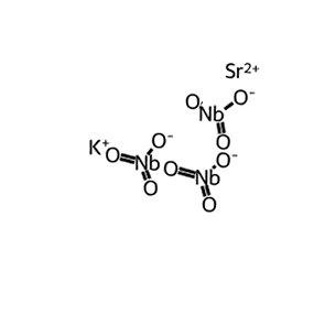 [K+].[O]=[Nb](=[O])[O-].[O]=[Nb](=[O])[O-].[O]=[Nb](=[O])[O-].[Sr+2]